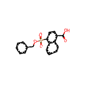 O=C(O)c1ccc(S(=O)(=O)OCc2ccccc2)c2ccccc12